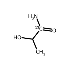 CC(O)[13C](N)=O